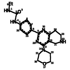 CCNC(=O)Nc1ccc(-c2nc3c(c(N4CCOCC4)n2)CNCC3)cc1